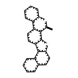 O=c1[nH]c2ccccc2c2ccc3c([nH]c4ccc5ccccc5c43)c12